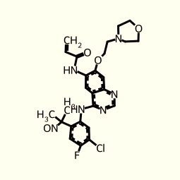 C=CC(=O)Nc1cc2c(Nc3cc(Cl)c(F)cc3C(C)(C)N=O)ncnc2cc1OCCN1CCOCC1